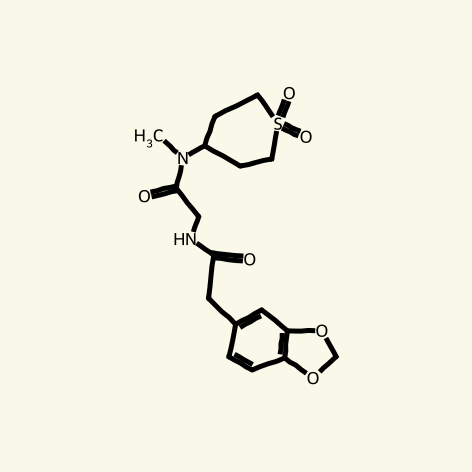 CN(C(=O)CNC(=O)Cc1ccc2c(c1)OCO2)C1CCS(=O)(=O)CC1